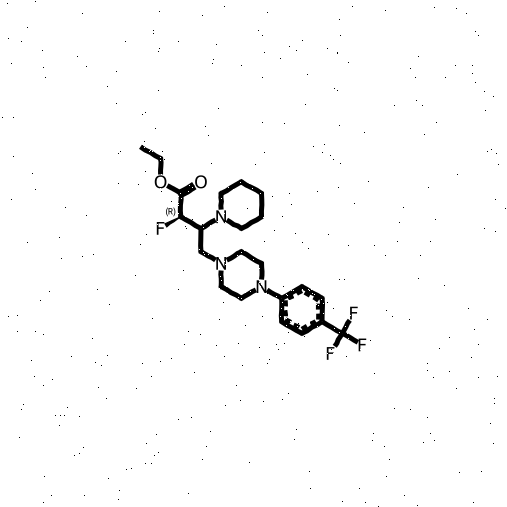 CCOC(=O)[C@H](F)C(CN1CCN(c2ccc(C(F)(F)F)cc2)CC1)N1CCCCC1